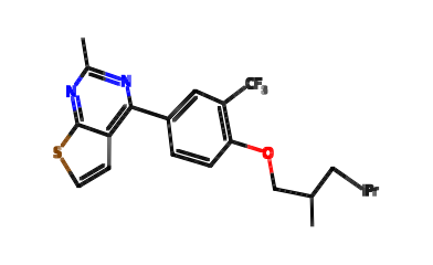 Cc1nc(-c2ccc(OCC(C)CC(C)C)c(C(F)(F)F)c2)c2ccsc2n1